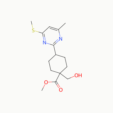 COC(=O)C1(CO)CCC(c2nc(C)cc(SC)n2)CC1